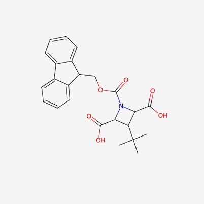 CC(C)(C)C1C(C(=O)O)N(C(=O)OCC2c3ccccc3-c3ccccc32)C1C(=O)O